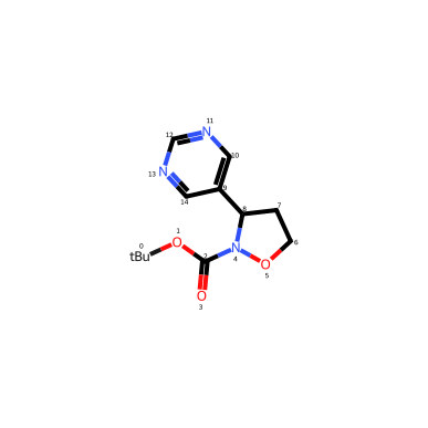 CC(C)(C)OC(=O)N1OCCC1c1cncnc1